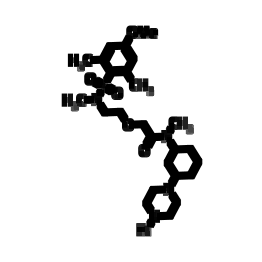 CCN1CCN(C2CCCC(N(C)C(=O)COCCN(C)S(=O)(=O)c3c(C)cc(OC)cc3C)C2)CC1